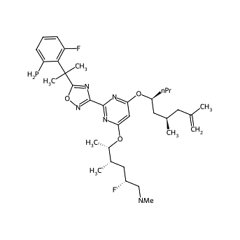 C=C(C)C[C@@H](C)C[C@H](CCC)Oc1cc(O[C@@H](C)[C@@H](C)C[C@@H](F)CNC)nc(-c2noc(C(C)(C)c3c(F)cccc3P)n2)n1